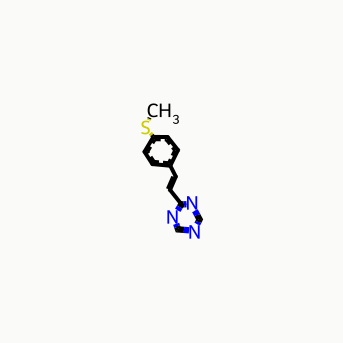 CSc1ccc(C=Cc2ncncn2)cc1